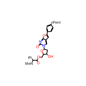 CCCCCc1ccc(-c2cc3cn(C4CC(O)C(COC(=O)C(NC)C(C)C)O4)c(=O)nc3o2)cc1